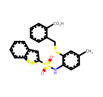 Cc1ccc(NS(=O)(=O)c2cc3ccccc3s2)c(SCc2ccccc2C(=O)O)c1